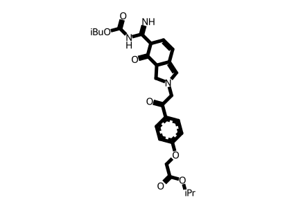 CC(C)COC(=O)NC(=N)C1C=CC2=CN(CC(=O)c3ccc(OCC(=O)OC(C)C)cc3)CC2C1=O